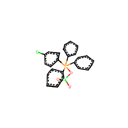 [O-][Cl+2]([O-])OP(c1ccccc1)(c1ccccc1)(c1ccccc1)c1ccc(Cl)cc1